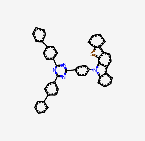 c1ccc(-c2ccc(-c3nc(-c4ccc(-c5ccccc5)cc4)nc(-c4ccc(-n5c6ccccc6c6ccc7c8ccccc8sc7c65)cc4)n3)cc2)cc1